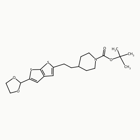 CC(C)(C)OC(=O)N1CCC(CCc2cc3cc(C4OCCO4)sc3s2)CC1